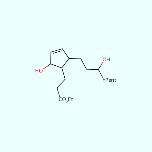 CCCCCC(O)CCC1C=CC(O)C1CCC(=O)OCC